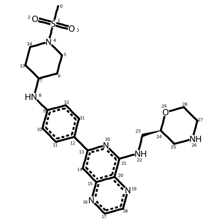 CS(=O)(=O)N1CCC(Nc2ccc(-c3cc4nccnc4c(NC[C@@H]4CNCCO4)n3)cc2)CC1